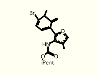 C=C1C(c2occ(C)c2NC(=O)O[C@H](C)CCC)=CC=C(Br)C1C